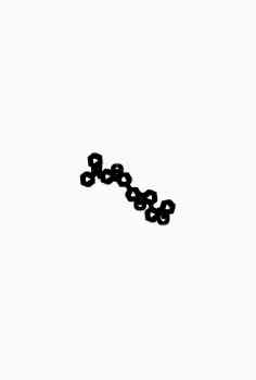 c1ccc(N(c2ccccc2)c2ccc3c(c2)oc2ccc(-c4ccc5oc6c(-c7cccc8oc9ccccc9c78)cccc6c5c4)cc23)cc1